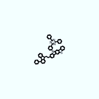 c1ccc(-c2nc(-c3ccccc3)nc(-c3cccc(-n4c5cc(CCC6c7ccccc7-c7c(-c8ccccc8)cccc76)ccc5c5cc6sc7ccccc7c6cc54)c3)n2)cc1